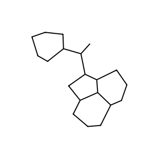 CC(C1CCCCC1)C1CC2CCCC3CCCC1C32